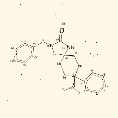 CN(C)[C@]1(c2ccccc2)CC[C@@]2(CC1)CN(Cc1ccncc1)C(=O)N2